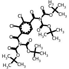 CC(C)(C)OC(=O)N(C(=O)OC(C)(C)C)C(=O)c1ccc(C(=O)N(C(=O)OC(C)(C)C)C(=O)OC(C)(C)C)c(Cl)c1Cl